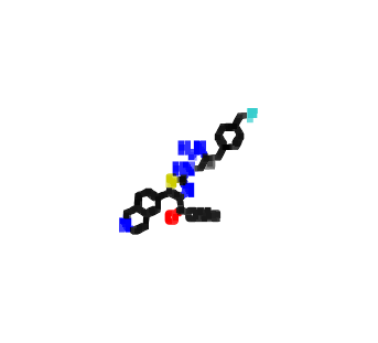 COC(=O)c1nc(NC[C@@H](N)Cc2ccc(CF)cc2)sc1-c1ccc2cnccc2c1